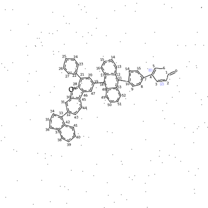 C=C/C=C\C(=C/C)c1ccc(-c2c3ccccc3c(-c3cc(-c4ccccc4)c4oc5cc(-c6cccc7ccccc67)ccc5c4c3)c3ccccc23)cc1